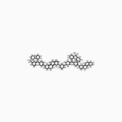 CC1(C)c2ccccc2-c2c(N(c3ccccc3)c3ccc(-c4ccc5ccc6c7cc(-c8cccc(-c9ccc(N(c%10ccc(-c%11ccc%12ccc%13c%14ccccc%14ccc%13c%12c%11)cc%10)c%10cccc%11c%10-c%10ccccc%10C%11(C)C)cc9)c8)ccc7ccc6c5c4)cc3)cccc21